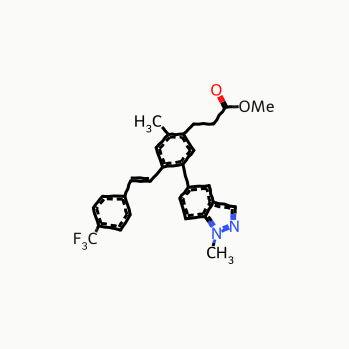 COC(=O)CCc1cc(-c2ccc3c(cnn3C)c2)c(C=Cc2ccc(C(F)(F)F)cc2)cc1C